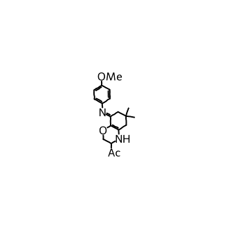 COc1ccc(/N=C2\CC(C)(C)CC3=C2OCC(C(C)=O)N3)cc1